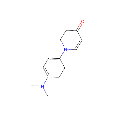 CN(C)C1=CC=C(N2C=CC(=O)CC2)CC1